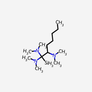 CCCCCC(N(C)C)C([SiH3])(N(C)C)N(C)C